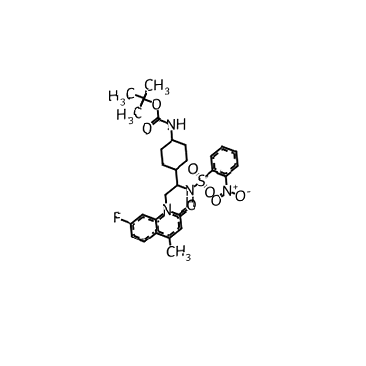 Cc1cc(=O)n(CC(NS(=O)(=O)c2ccccc2[N+](=O)[O-])C2CCC(NC(=O)OC(C)(C)C)CC2)c2cc(F)ccc12